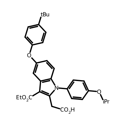 CCOC(=O)c1c(CC(=O)O)n(-c2ccc(OC(C)C)cc2)c2ccc(Oc3ccc(C(C)(C)C)cc3)cc12